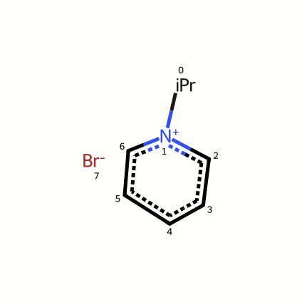 CC(C)[n+]1ccccc1.[Br-]